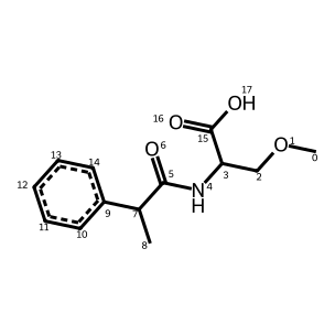 COCC(NC(=O)C(C)c1ccccc1)C(=O)O